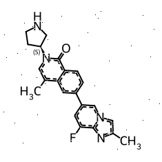 Cc1cn2cc(-c3ccc4c(=O)n([C@H]5CCNC5)cc(C)c4c3)cc(F)c2n1